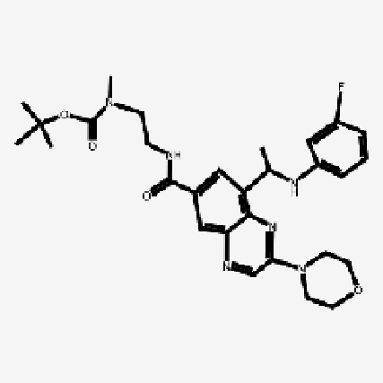 CC(Nc1cccc(F)c1)c1cc(C(=O)NCCN(C)C(=O)OC(C)(C)C)cc2ncc(N3CCOCC3)nc12